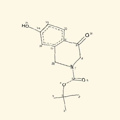 CC(C)(C)OC(=O)N1CC(=O)c2ccc(O)cc2C1